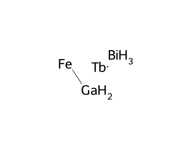 [BiH3].[Fe][GaH2].[Tb]